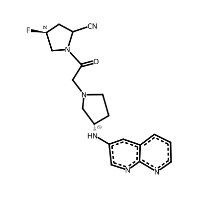 N#CC1C[C@H](F)CN1C(=O)CN1CC[C@H](Nc2cnc3ncccc3c2)C1